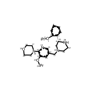 CC(C)Oc1ccccc1[C@H]1CN(Cc2cnc(N3CCOCC3)c(OC(C)C)c2)CCN1